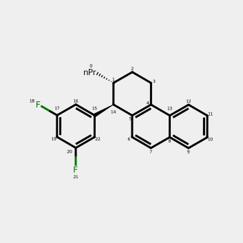 CCC[C@@H]1CCc2c(ccc3ccccc23)[C@H]1c1cc(F)cc(F)c1